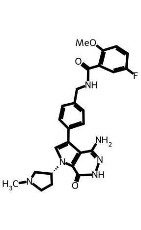 COc1ccc(F)cc1C(=O)NCc1ccc(-c2cn([C@@H]3CCN(C)C3)c3c(=O)[nH]nc(N)c23)cc1